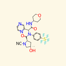 C[C@@]1(O)C[C@H](C(=O)N(c2ccc(S(F)(F)(F)(F)F)cc2)C(C(=O)NC2CCOCC2)c2cnccn2)N(C#N)C1